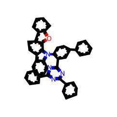 c1ccc(-c2ccc(-n3c4ccccc4c4ccc5c6ccccc6oc5c43)c(-c3nc(-c4ccccc4)nc(-c4ccccc4)n3)c2)cc1